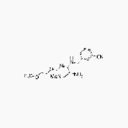 CN/C=C(N)\C(=N/COCCOC(F)(F)F)NCc1cccc(C#N)c1